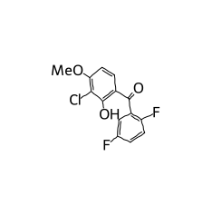 COc1ccc(C(=O)c2cc(F)ccc2F)c(O)c1Cl